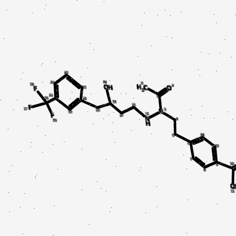 CC(=O)N(CCc1ccc(C(=O)O)cc1)NCCC(O)Cc1cccc(C(F)(F)F)c1